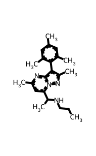 CCCNC(C)c1cc(C)nc2c(-c3c(C)cc(C)cc3C)c(C)nn12